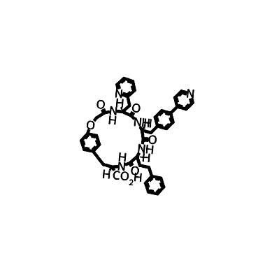 O=C1COc2ccc(cc2)C[C@@H](C(=O)O)NC(=O)[C@H](CCc2ccccc2)NC(=O)[C@@H](Cc2ccc(-c3ccncc3)cc2)NC(=O)[C@H](Cc2ccccn2)N1